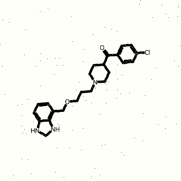 O=C(c1ccc(Cl)cc1)C1CCN(CCCOCc2cccc3c2NCN3)CC1